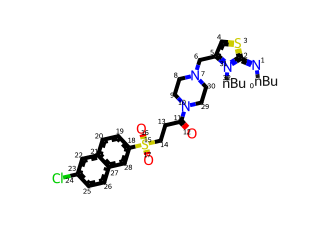 CCCCN=c1scc(CN2CCN(C(=O)CCS(=O)(=O)c3ccc4cc(Cl)ccc4c3)CC2)n1CCCC